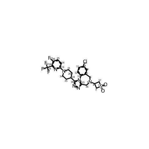 O=S1(=O)CC(N2Cc3cc(Cl)ccc3-n3c(nnc3C3CCN(c4ccc(F)c(C(F)(F)F)n4)CC3)C2)C1